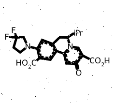 CC(C)C1Cc2cc(N3CCC(F)(F)C3)c(C(=O)O)cc2-c2cc(=O)c(C(=O)O)cn21